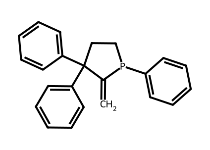 C=C1P(c2ccccc2)CCC1(c1ccccc1)c1ccccc1